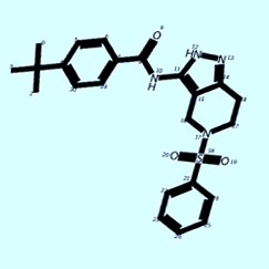 CC(C)(C)c1ccc(C(=O)Nc2[nH]nc3c2CN(S(=O)(=O)c2ccccc2)CC3)cc1